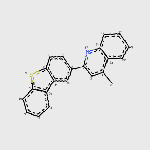 Cc1cc(-c2ccc3sc4ccccc4c3c2)nc2ccccc12